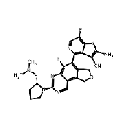 CN(C)C[C@H]1CCCN1c1ncc2c3c(c(-c4ncc(F)c5sc(N)c(C#N)c45)c(F)c2n1)COC3